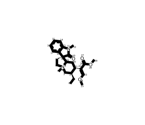 CC[C@H]1C[N+]2(C)CC[C@]3(C(=O)N(C)c4ccccc43)C2C[C@@H]1/C(=C\OC)C(=O)OC